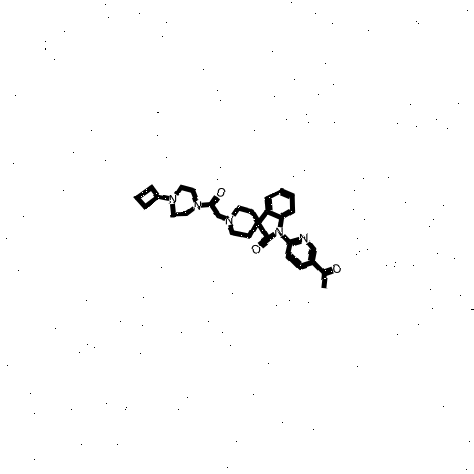 CC(=O)c1ccc(N2C(=O)C3(CCN(CC(=O)N4CCN(C5CCC5)CC4)CC3)c3ccccc32)nc1